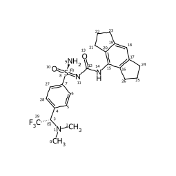 CN(C)[C@@H](c1ccc([S@](N)(=O)=NC(=O)Nc2c3c(cc4c2CCC4)CCC3)cc1)C(F)(F)F